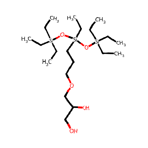 CC[Si](CC)(CC)O[Si](CC)(CCCOCC(O)CO)O[Si](CC)(CC)CC